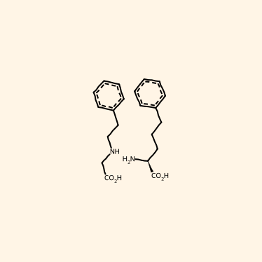 N[C@@H](CCCc1ccccc1)C(=O)O.O=C(O)CNCCc1ccccc1